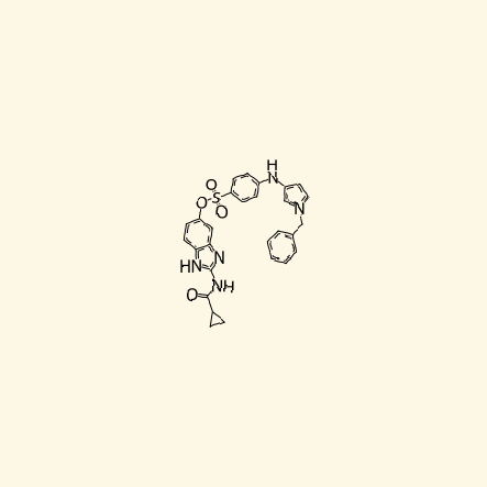 O=C(Nc1nc2cc(OS(=O)(=O)c3ccc(Nc4ccn(Cc5ccccc5)c4)cc3)ccc2[nH]1)C1CC1